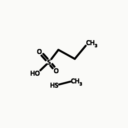 CCCS(=O)(=O)O.CS